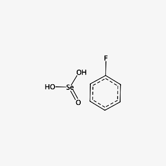 Fc1ccccc1.O=[Se](O)O